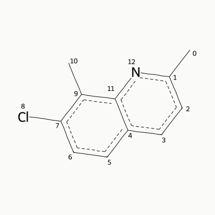 Cc1ccc2ccc(Cl)c(C)c2n1